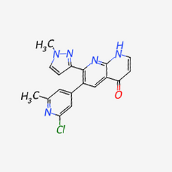 Cc1cc(-c2cc3c(=O)cc[nH]c3nc2-c2ccn(C)n2)cc(Cl)n1